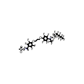 C/C(=N\OS(C)(=O)=O)c1c(F)c(F)c(OCCCOc2c(F)c(F)c(/C(=N/OS(=O)(=O)C(F)(F)C(F)(F)C(F)(F)C(F)(F)F)C(F)(F)F)c(F)c2F)c(F)c1F